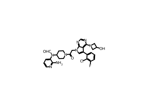 Nc1ncccc1N(C=O)C1CCN(C(=O)Cn2cc(-c3cccc(F)c3Cl)c3c(N4CC(O)C4)ncnc32)CC1